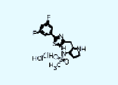 CS(=O)(=O)N[C@@H]1CCN[C@@H]1Cc1csc(-c2cc(F)cc(F)c2)n1.Cl.Cl